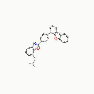 CC(C)Cc1cccc2nc(-c3ccc(-c4cccc5c4oc4ccccc45)cc3)oc12